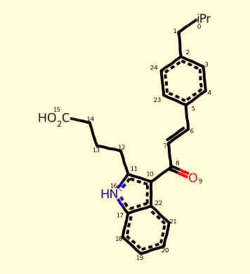 CC(C)Cc1ccc(C=CC(=O)c2c(CCCC(=O)O)[nH]c3ccccc23)cc1